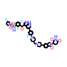 O=C1CC[C@@H](N2Cc3cc(C4CCN(CC5CCN(c6ccc(-c7cnc8[nH]cc(C(=O)c9c(F)ccc(NS(=O)(=O)N%10CC[C@@H](F)C%10)c9F)c8c7)cc6F)CC5)CC4)ccc3C2=O)C(=O)N1